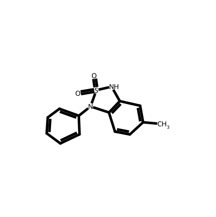 Cc1ccc2c(c1)NS(=O)(=O)N2c1ccccc1